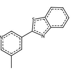 Cc1cncc(-c2nc3ccccc3s2)c1